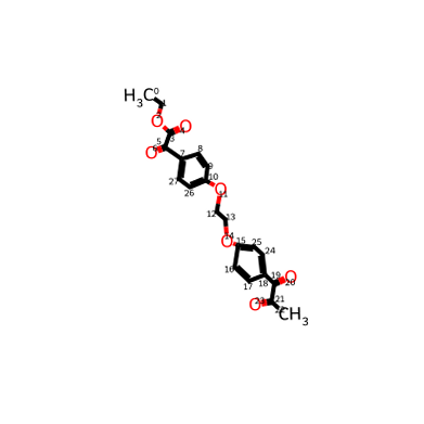 CCOC(=O)C(=O)c1ccc(OCCOc2ccc(C(=O)C(C)=O)cc2)cc1